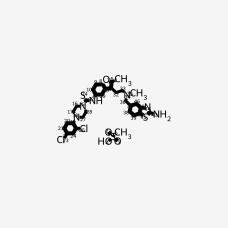 CS(=O)(=O)O.Cc1oc2ccc(NC(=S)N3CCN(c4ccc(Cl)cc4Cl)CC3)cc2c1CCN(C)Cc1ccc2sc(N)nc2c1